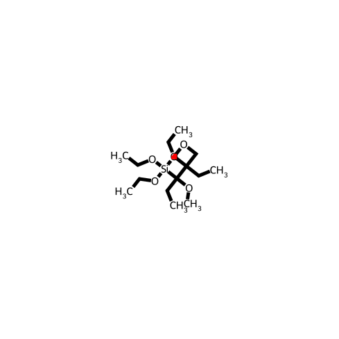 CCO[Si](OCC)(OCC)C(CC)(OC)C1(CC)COC1